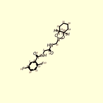 O=C(CNC(=O)c1cc(F)ccc1F)NCB1O[C@H]2CCCC[C@H]2O1